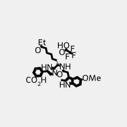 CCC(=O)CCCCC[C@H](NC(=O)Cc1c(C)[nH]c2ccc(OC)cc12)c1ncc(-c2ccccc2C(=O)O)[nH]1.O=C(O)C(F)(F)F